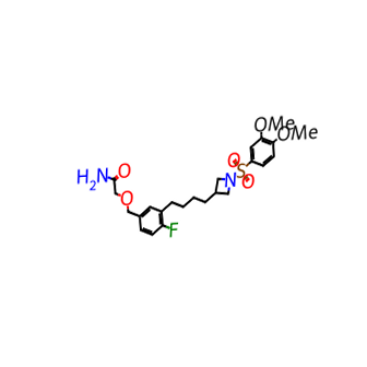 COc1ccc(S(=O)(=O)N2CC(CCCCc3cc(COCC(N)=O)ccc3F)C2)cc1OC